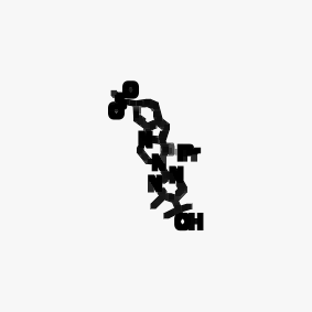 Cc1nc(N2CCn3c(cc4ccc(S(C)(=O)=O)cc43)[C@@H]2C(C)C)ncc1C(C)(C)O